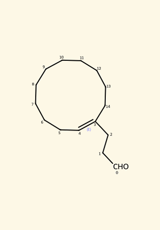 O=CCC/C1=C/CCCCCCCCCC1